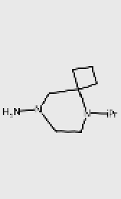 CC(C)N1CCN(N)CC12CCC2